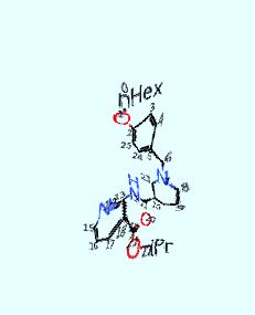 CCCCCCOc1ccc(CN2CC[C@@H](CNc3ncccc3C(=O)OC(C)C)C2)cc1